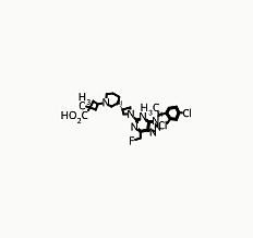 C[C@H](c1ccc(Cl)cc1Cl)n1nnc2c(CF)nc(N3CC([C@H]4CCCN(C5CC(C)(C(=O)O)C5)C4)C3)nc21